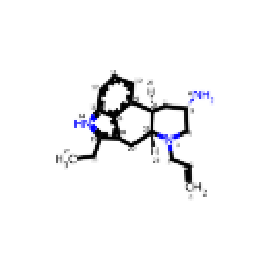 C=CCN1C[C@@H](N)C[C@@H]2c3cccc4[nH]c(CC)c(c34)C[C@H]21